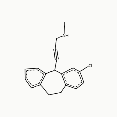 CNCC#CC1c2ccccc2CCc2ccc(Cl)cc21